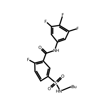 CCC(C)NS(=O)(=O)c1ccc(F)c(C(=O)Nc2cc(F)c(F)c(F)c2)c1